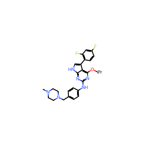 CC(C)Oc1nc(Nc2ccc(CN3CCN(C)CC3)cc2)nc2[nH]cc(-c3ccc(F)cc3F)c12